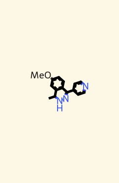 COc1ccc2c(c1)C(C)NN=C2c1ccncc1